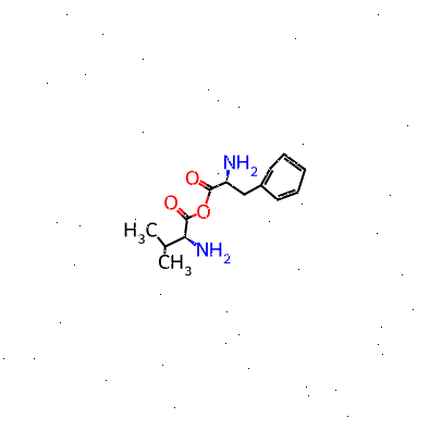 CC(C)[C@H](N)C(=O)OC(=O)[C@@H](N)Cc1ccccc1